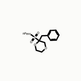 CCCCCS(=O)(=O)C1(Cc2ccccc2)COCCO1